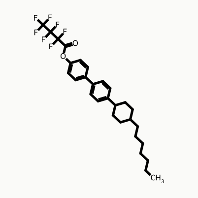 CCCCCCCC1CCC(c2ccc(-c3ccc(OC(=O)C(F)(F)C(F)(F)C(F)(F)F)cc3)cc2)CC1